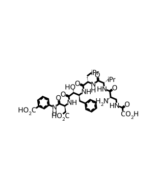 CC(C)C[C@H](NC(=O)[C@@H](NC(=O)[C@@H](N)CNC(=O)C(=O)O)C(C)C)C(=O)N[C@@H](Cc1ccccc1)[C@@H](O)C(=O)N[C@@H](CC(=O)O)C(=O)Nc1cccc(C(=O)O)c1